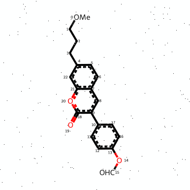 COCCCc1ccc2cc(-c3ccc(OC=O)cc3)c(=O)oc2c1